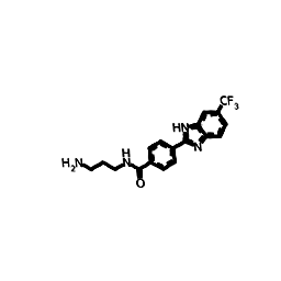 NCCCNC(=O)c1ccc(-c2nc3ccc(C(F)(F)F)cc3[nH]2)cc1